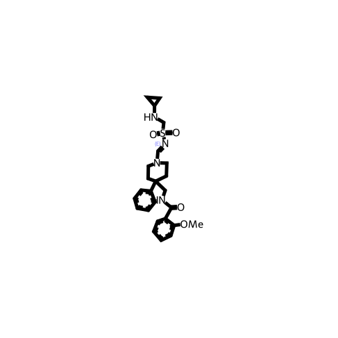 COc1ccccc1C(=O)NCC1(c2ccccc2)CCN(/C=N/S(=O)(=O)CNC2CC2)CC1